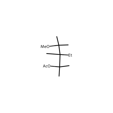 CCC(C)(C(C)(C)OC)C(C)(C)OC(C)=O